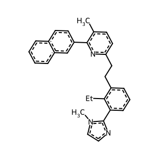 CCc1c(CCc2ccc(C)c(-c3ccc4ccccc4c3)n2)cccc1-c1nccn1C